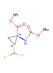 CCCOC(=O)[C@@]1(NC(=O)OC(C)(C)C)C[C@H]1C(F)F